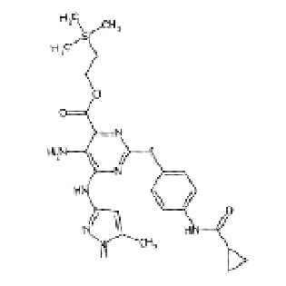 Cc1cc(Nc2nc(Sc3ccc(NC(=O)C4CC4)cc3)nc(C(=O)OCC[Si](C)(C)C)c2N)n[nH]1